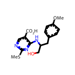 COc1ccc(CC(CO)Nc2nc(SC)ncc2C(=O)O)cc1